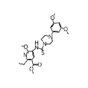 CCc1nc(OC)c(NC(=S)N2CCN(c3cc(OC)cc(OC)c3)CC2)cc1C(=O)OC